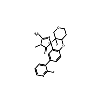 CN1C(=O)[C@]2(N=C1N)c1cc(-c3cccnc3F)ccc1OC1CCOCC12F